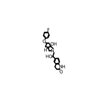 O=C1CCc2cc([C@@H](O)CN3C[C@@H]4C[C@@H](Oc5ccc(F)cc5)C[C@]4(O)C3)ccc2N1